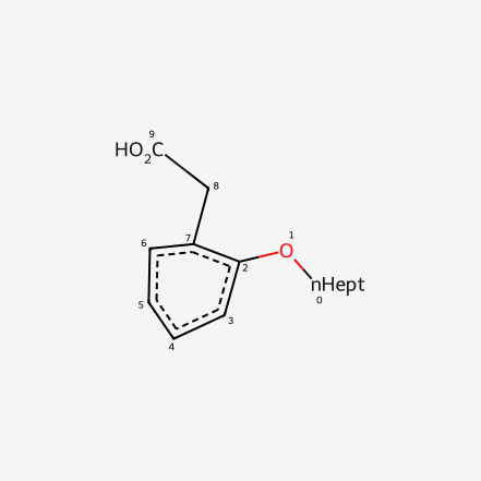 CCCCCCCOc1ccccc1CC(=O)O